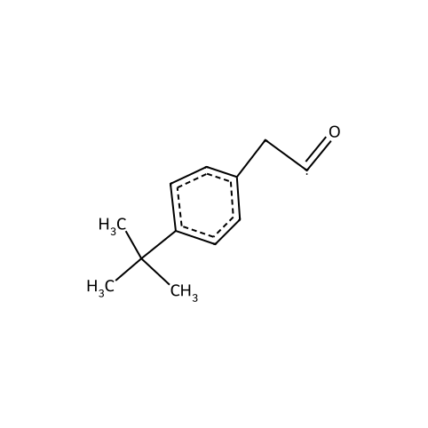 CC(C)(C)c1ccc(C[C]=O)cc1